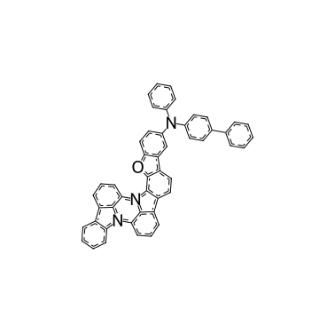 c1ccc(-c2ccc(N(c3ccccc3)c3ccc4oc5c(ccc6c7cccc8c7n(c7cccc9c%10ccccc%10n8c97)c65)c4c3)cc2)cc1